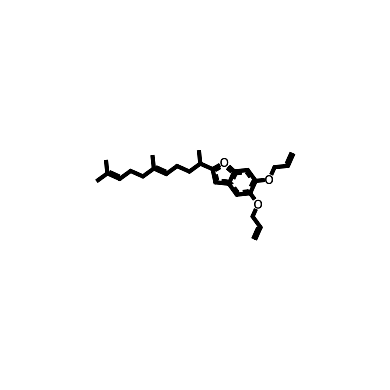 C=CCOc1cc2cc(C(C)CC/C=C(\C)CCC=C(C)C)oc2cc1OCC=C